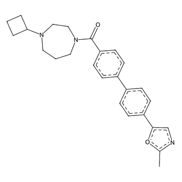 Cc1ncc(-c2ccc(-c3ccc(C(=O)N4CCCN(C5CCC5)CC4)cc3)cc2)o1